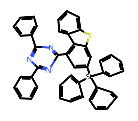 c1ccc(-c2nc(-c3ccccc3)nc(-c3cc([Si](c4ccccc4)(c4ccccc4)c4ccccc4)cc4sc5ccccc5c34)n2)cc1